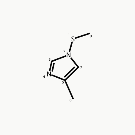 CSn1cnc(C)c1